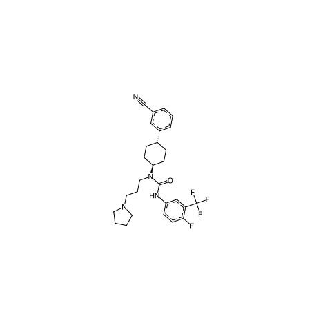 N#Cc1cccc([C@H]2CC[C@H](N(CCCN3CCCC3)C(=O)Nc3ccc(F)c(C(F)(F)F)c3)CC2)c1